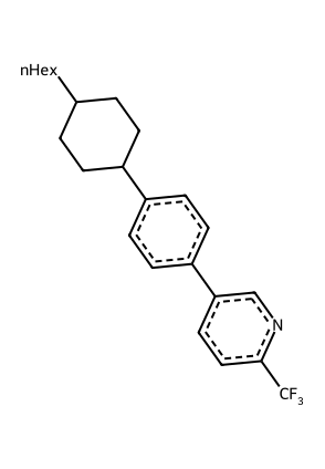 CCCCCCC1CCC(c2ccc(-c3ccc(C(F)(F)F)nc3)cc2)CC1